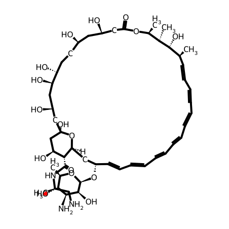 C[C@@H]1[C@H](O)[C@@H](C)/C=C/C=C/C=C/C=C/C=C/C=C/C=C/[C@H](O[C@@H]2O[C@H](C)[C@@H](O)[C@H](N)[C@@H]2O)C[C@@H]2O[C@](O)(C[C@@H](O)C[C@@H](O)[C@H](O)CC[C@@H](O)C[C@@H](O)CC(=O)O[C@H]1C)C[C@H](O)[C@H]2C(=O)N[C@H](C)CN